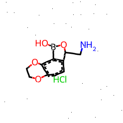 Cl.NCC1OB(O)c2c1ccc1c2OCCO1